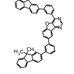 CC1(C)c2ccccc2-c2ccc(-c3cccc(-c4ccc5oc6c(-c7cccc(-c8ccc9c(c8)Cc8ccccc8-9)c7)ncnc6c5c4)c3)cc21